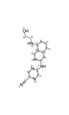 N#Cc1cnc(Nc2cc3cccc(NCCO)c3cn2)cn1